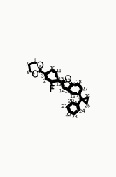 Fc1cc(C2OCCCO2)ccc1-c1cc2cc(C3(c4ccccc4)CC3)ccc2o1